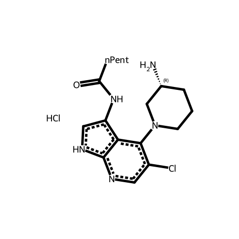 CCCCCC(=O)Nc1c[nH]c2ncc(Cl)c(N3CCC[C@@H](N)C3)c12.Cl